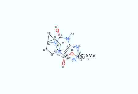 CSc1ncc2c(n1)N(C)C(=O)N(C13CCN(C(=O)OC(C)(C)C)CC1C3)C2